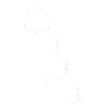 C/C(=C\CCC1CCCCC1)CS